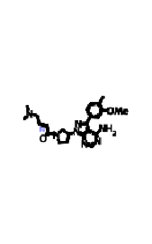 COc1cc(-c2nn(C3CCN(C(=O)/C=C/CN(C)C)C3)c3ncnc(N)c23)ccc1C